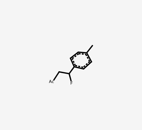 CC(=O)CC(F)c1ccc(C)cc1